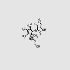 CC1=C(C)C(C)(C)[C]([Zr])=C1C.CCCO.CCCO.CCCO